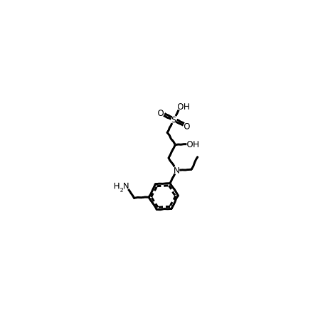 CCN(CC(O)CS(=O)(=O)O)c1cccc(CN)c1